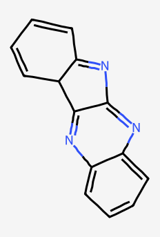 C1=CC2=Nc3nc4ccccc4nc3C2C=C1